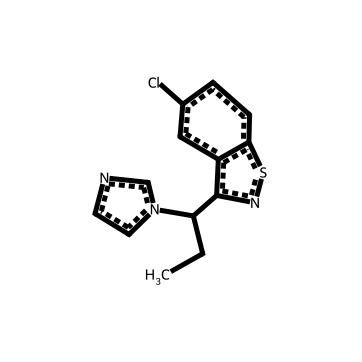 CCC(c1nsc2ccc(Cl)cc12)n1ccnc1